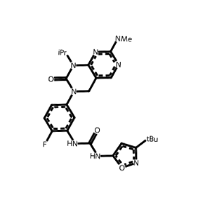 CNc1ncc2c(n1)N(C(C)C)C(=O)N(c1ccc(F)c(NC(=O)Nc3cc(C(C)(C)C)no3)c1)C2